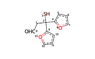 O=CCC(S)(c1ccco1)c1ccco1